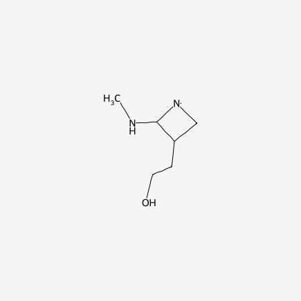 CNC1[N]CC1CCO